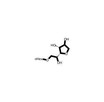 CCCCCCOCC(O)[C@H]1OCC(O)[C@H]1O